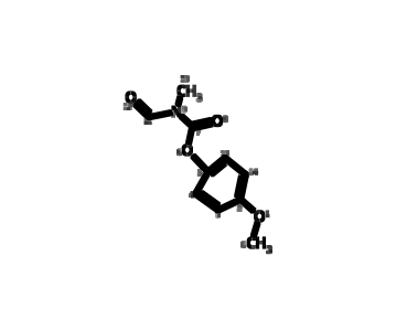 COc1ccc(OC(=O)N(C)C=O)cc1